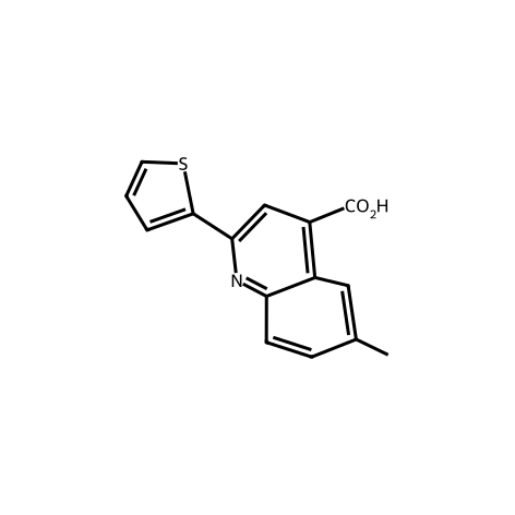 Cc1ccc2nc(-c3cccs3)cc(C(=O)O)c2c1